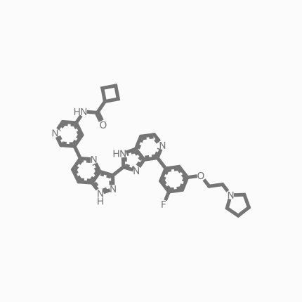 O=C(Nc1cncc(-c2ccc3[nH]nc(-c4nc5c(-c6cc(F)cc(OCCN7CCCC7)c6)nccc5[nH]4)c3n2)c1)C1CCC1